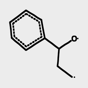 [CH2]CC([O])c1ccccc1